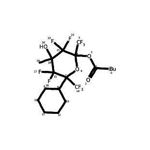 CCC(C)C(=O)OC1(C(F)(F)F)OC(C2CCCCC2)(C(F)(F)F)C(F)(F)C(C)(O)C1(F)F